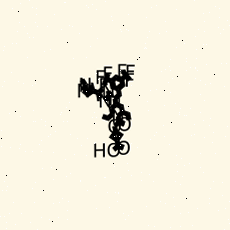 CCC1CC(N(Cc2cc(C(F)(F)F)cc(C(F)(F)F)c2)c2ncc(-c3cnn(C)c3)cn2)CC(CC)N1C(=O)OC1CC(C(=O)O)C1